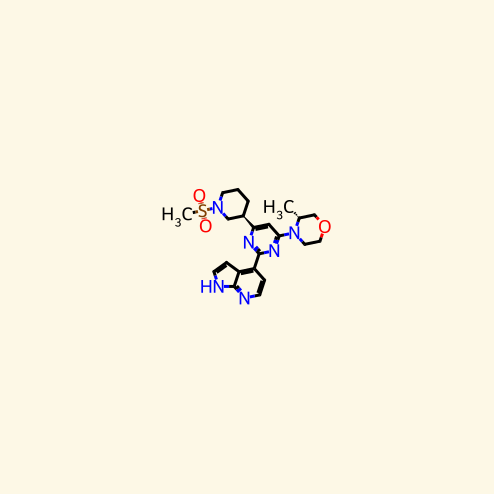 C[C@@H]1COCCN1c1cc([C@@H]2CCCN(S(C)(=O)=O)C2)nc(-c2ccnc3[nH]ccc23)n1